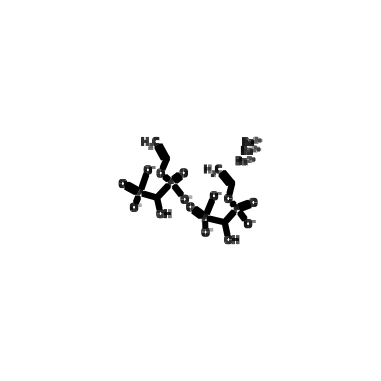 C=COP(=O)([O-])C(O)P(=O)([O-])[O-].C=COP(=O)([O-])C(O)P(=O)([O-])[O-].[Ba+2].[Ba+2].[Ba+2]